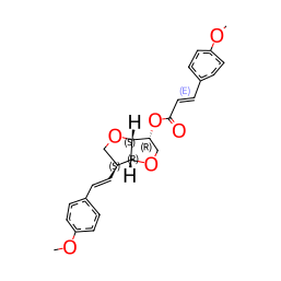 COc1ccc(C=C[C@H]2CO[C@H]3[C@@H]2OC[C@H]3OC(=O)/C=C/c2ccc(OC)cc2)cc1